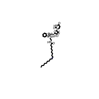 CCCCCCCC/C=C\CCCCCCCC(=O)NCCNP(=O)(OC[C@H]1O[C@@H](n2ccc(=O)[nH]c2=O)[C@](C)(F)[C@@H]1O)Oc1ccccc1